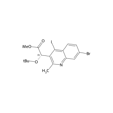 COC(=O)[C@@H](OC(C)(C)C)c1c(C)nc2cc(Br)ccc2c1I